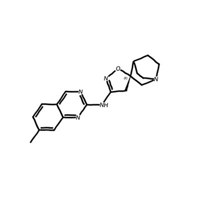 Cc1ccc2cnc(NC3=NO[C@@]4(C3)CN3CCC4CC3)nc2c1